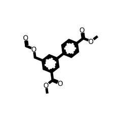 COC(=O)c1ccc(-c2cc(COC=O)cc(C(=O)OC)c2)cc1